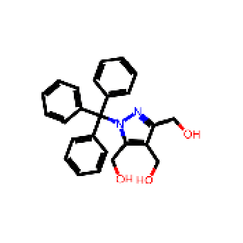 OCc1nn(C(c2ccccc2)(c2ccccc2)c2ccccc2)c(CO)c1CO